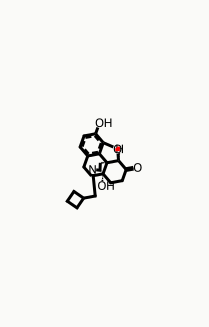 O=C1CC[C@@]2(O)C3Cc4ccc(O)c5c4[C@@]2(CCN3CC2CCC2)[C@H]1O5